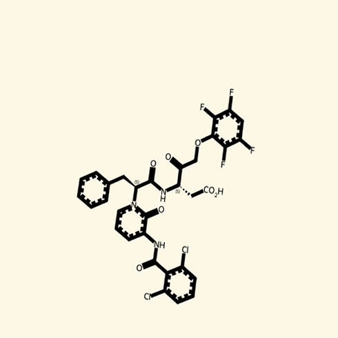 O=C(O)C[C@H](NC(=O)[C@H](Cc1ccccc1)n1cccc(NC(=O)c2c(Cl)cccc2Cl)c1=O)C(=O)COc1c(F)c(F)cc(F)c1F